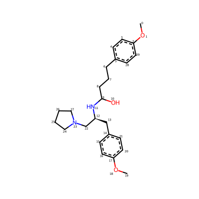 COc1ccc(CCCC(O)N[C@@H](Cc2ccc(OC)cc2)CN2CCCC2)cc1